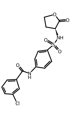 O=C(Nc1ccc(S(=O)(=O)N[C@H]2CCOC2=O)cc1)c1cccc(Cl)c1